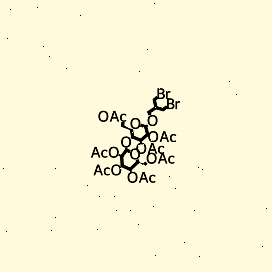 CC(=O)OC[C@H]1O[C@H](O[C@@H]2[C@H](OC(C)=O)[C@@H](OC(C)=O)[C@H](OCC(CBr)CBr)O[C@@H]2COC(C)=O)[C@H](OC(C)=O)[C@@H](OC(C)=O)[C@H]1OC(C)=O